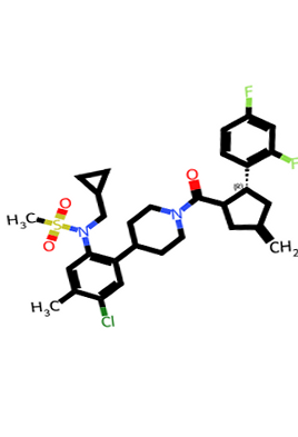 C=C1CC(C(=O)N2CCC(c3cc(Cl)c(C)cc3N(CC3CC3)S(C)(=O)=O)CC2)[C@H](c2ccc(F)cc2F)C1